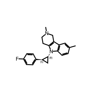 Cc1ccc2c(c1)c1c(n2[C@@H]2C[C@H]2c2ccc(F)cc2)CCN(C)C1